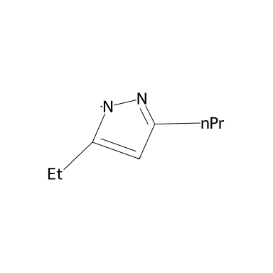 CCCC1=N[N]C(CC)=C1